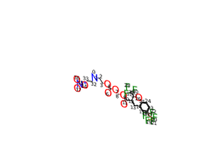 CN(CCOC(=O)OCOC(=O)C1=Cc2cc(S(F)(F)(F)(F)F)ccc2OC1C(F)(F)F)CCO[N+](=O)[O-]